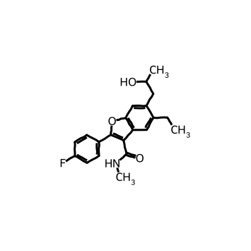 CCc1cc2c(C(=O)NC)c(-c3ccc(F)cc3)oc2cc1CC(C)O